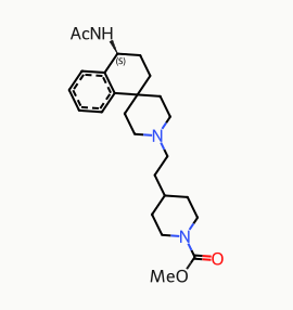 COC(=O)N1CCC(CCN2CCC3(CC[C@H](NC(C)=O)c4ccccc43)CC2)CC1